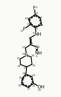 N=N/C(=C\Nc1ccc(F)cc1F)CN1CCC(c2cccc(O)c2)CC1